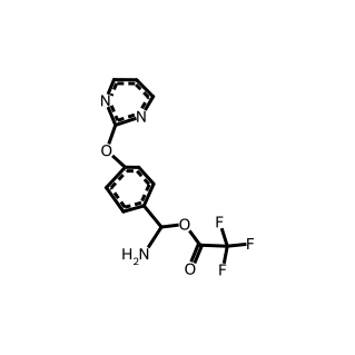 NC(OC(=O)C(F)(F)F)c1ccc(Oc2ncccn2)cc1